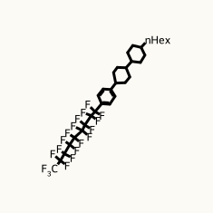 CCCCCCC1CCC(C2CCC(c3ccc(C(F)(F)C(F)(F)C(F)(F)C(F)(F)C(F)(F)C(F)(F)C(F)(F)C(F)(F)C(F)(F)F)cc3)CC2)CC1